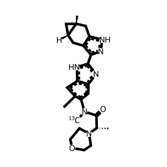 Cc1cc2[nH]c(-c3n[nH]c4c3C[C@@H]3C[C@]3(C)C4)nc2cc1N([13CH3])C(=O)[C@H](C)N1CCOCC1